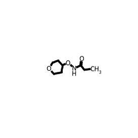 CCC(=O)NOC1CCOCC1